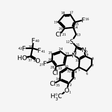 COc1cc(C2CCCc3nc(SCc4c(F)cccc4Cl)n(-c4ccc(F)c(Cl)c4)c32)ccc1Cl.O=C(O)C(F)(F)F